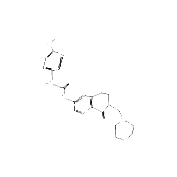 O=C(Nc1ccc(OC(F)(F)F)cc1)Nc1ccc2c(c1)CCC(CN1CCOCC1)C2=O